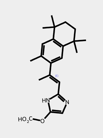 C/C(=C\c1ncc(OC(=O)O)[nH]1)c1cc2c(cc1C)C(C)(C)CCC2(C)C